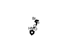 O=C(Nc1ccccc1)OCc1cc(Br)cs1